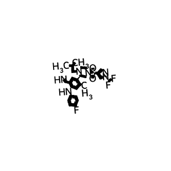 Cc1cc(Nc2ccc(F)cc2)c(C=N)cc1[C@@H]1CN(S(=O)(=O)c2cnn(C(F)F)c2)CCN1CC(C)C